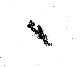 CC(C)Oc1ccccc1[C@H]1CCCCN1C1CC2(CCN(c3ccc(C(=O)NS(=O)(=O)c4ccc(NCC5CCC(C)(O)CC5)c([N+](=O)[O-])c4)c(N4c5cc6cc[nH]c6nc5O[C@H]5COCC[C@@H]54)c3)CC2)C1